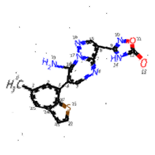 Cc1cc(-c2cnc3c(-c4noc(=O)[nH]4)cnn3c2N)c2sccc2c1